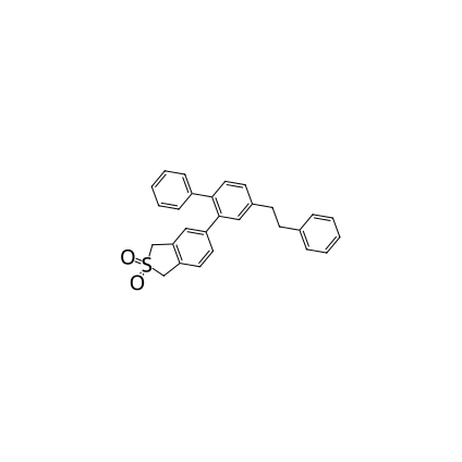 O=S1(=O)Cc2ccc(-c3cc(CCc4ccccc4)ccc3-c3ccccc3)cc2C1